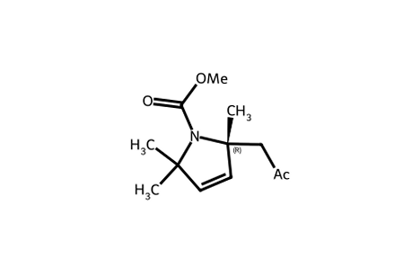 COC(=O)N1C(C)(C)C=C[C@@]1(C)CC(C)=O